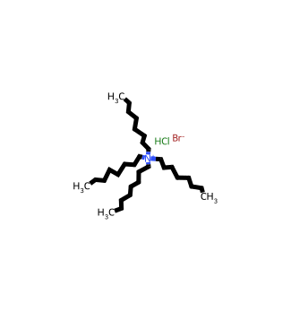 CCCCCCCC[N+](CCCCCCCC)(CCCCCCCC)CCCCCCCC.Cl.[Br-]